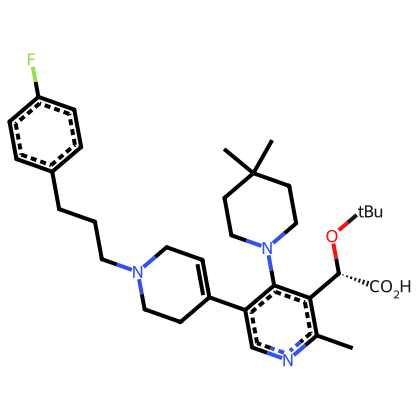 Cc1ncc(C2=CCN(CCCc3ccc(F)cc3)CC2)c(N2CCC(C)(C)CC2)c1[C@H](OC(C)(C)C)C(=O)O